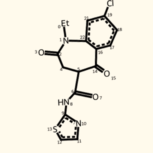 CCN1C(=O)CC(C(=O)Nc2nccs2)C(=O)c2ccc(Cl)cc21